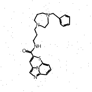 O=C(NCCCN1CCCN(Cc2ccccc2)CC1)C1=Cc2cnc3cccc(n23)S1